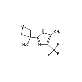 Cc1[nH]c(C2(C)COC2)nc1C(F)(F)F